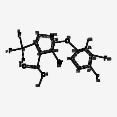 COC(=O)c1c(C(F)(F)F)cnc(Oc2ccc(F)c(F)c2C)c1Br